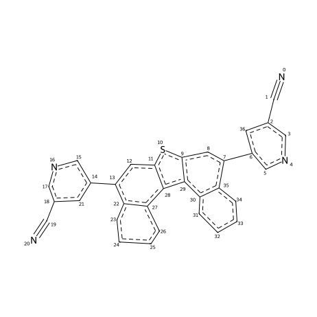 N#Cc1cncc(-c2cc3sc4cc(-c5cncc(C#N)c5)c5ccccc5c4c3c3ccccc23)c1